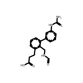 NC(=S)Nc1cccc(-c2cccc(CCC(=O)O)c2CNC=O)c1